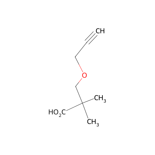 C#CCOCC(C)(C)C(=O)O